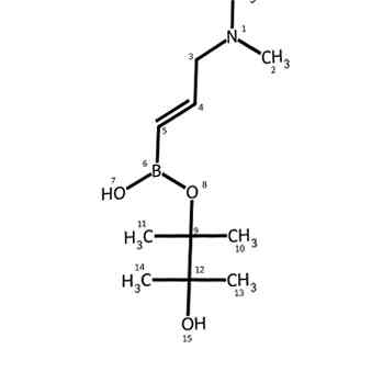 CN(C)CC=CB(O)OC(C)(C)C(C)(C)O